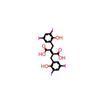 O=C(O)/C(Cc1cc(I)cc(I)c1O)=C(\Cc1cc(I)cc(I)c1O)C(=O)O